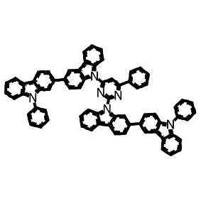 c1ccc(-c2cc(-n3c4ccccc4c4cc(-c5ccc6c7ccccc7n(-c7ccccc7)c6c5)ccc43)nc(-n3c4ccccc4c4ccc(-c5ccc6c(c5)c5ccccc5n6-c5ccccc5)cc43)n2)cc1